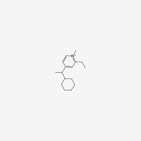 CCc1cc(C(C)C2CCCCC2)cc[n+]1C